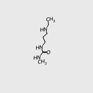 CCNCCCNC(=O)NC